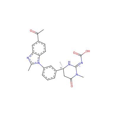 CC(=O)c1ccc2c(c1)nc(C)n2-c1cccc([C@]2(C)CC(=O)N(C)/C(=N/C(=O)O)N2)c1